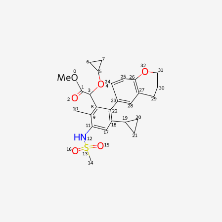 COC(=O)C(OC1CC1)c1c(C)c(NS(C)(=O)=O)cc(C2CC2)c1-c1ccc2c(c1)CCCO2